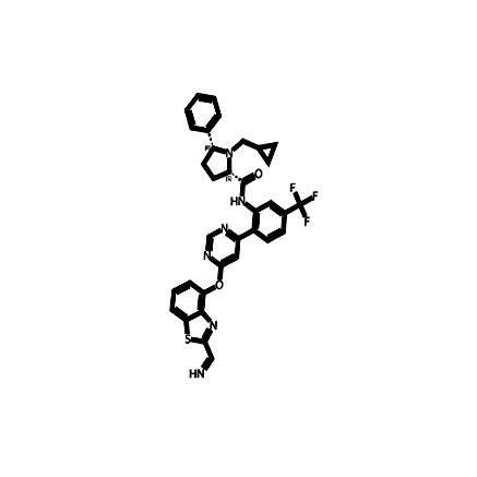 N=Cc1nc2c(Oc3cc(-c4ccc(C(F)(F)F)cc4NC(=O)[C@@H]4CC[C@H](c5ccccc5)N4CC4CC4)ncn3)cccc2s1